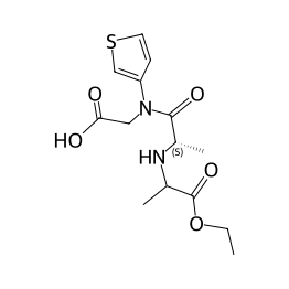 CCOC(=O)C(C)N[C@@H](C)C(=O)N(CC(=O)O)c1ccsc1